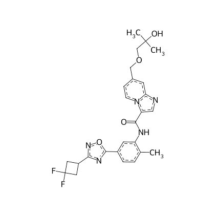 Cc1ccc(-c2nc(C3CC(F)(F)C3)no2)cc1NC(=O)c1cnc2cc(COCC(C)(C)O)ccn12